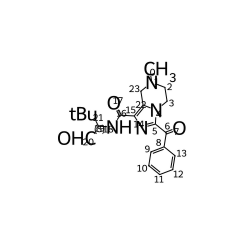 CN1CCn2c(C(=O)c3ccccc3)nc(C(=O)N[C@H](C=O)C(C)(C)C)c2C1